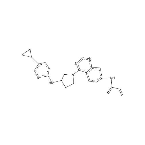 C=CC(=O)Nc1ccc2c(N3CCC(Nc4ncc(C5CC5)cn4)C3)ncnc2c1